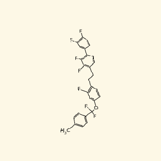 Cc1ccc(C(F)(F)Oc2ccc(CCc3ccc(-c4ccc(F)c(F)c4)c(F)c3F)c(F)c2)cc1